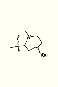 CN1CCC(C(C)(C)C)CC1C(C)(F)F